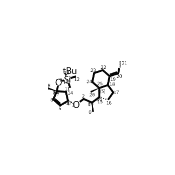 C[C@@H](CO[C@@H]1C=C[C@](C)(O[Si](C)(C)C(C)(C)C)C1)[C@H]1CCC2C(=CI)CCC[C@]21C